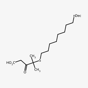 CCCCCCCCCCCCCCCCCCSC(C)(C)C(=O)CC(=O)O